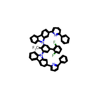 Fc1cccc(F)c1-c1cc(-n2c3ccccc3c3ccc(-c4cccc(-c5ccccc5)n4)cc32)c(C(F)(F)F)c(-n2c3ccccc3c3ccc(-c4cccc(-c5ccccc5)n4)cc32)c1